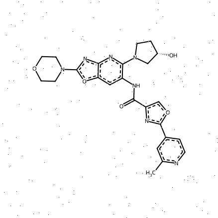 Cc1cc(-c2nc(C(=O)Nc3cc4oc(N5CCOCC5)nc4nc3N3CC[C@H](O)C3)co2)ccn1